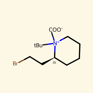 CC(C)(C)[N+]1(C(=O)[O-])CCCC[C@H]1CCBr